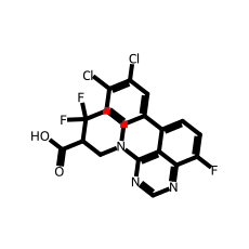 O=C(O)C1CN(c2ncnc3c(F)ccc(-c4ccc(Cl)c(Cl)c4)c23)CCC1(F)F